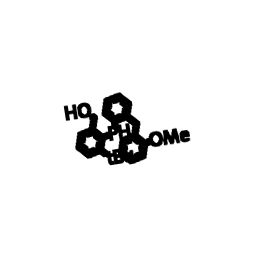 COc1ccccc1Cc1ccccc1Pc1c(CO)cccc1C(C)(C)C